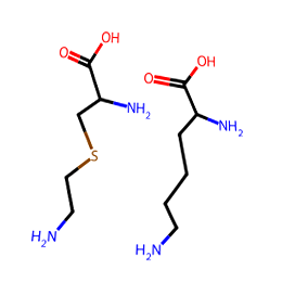 NCCCCC(N)C(=O)O.NCCSCC(N)C(=O)O